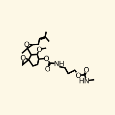 CNC(=O)OCCCCNC(=O)OC1CCC2(CO2)C(C2(C)OC2CC=C(C)C)C1OC